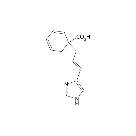 O=C(O)C1(CC=Cc2c[nH]cn2)C=CC=CC1